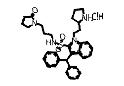 Cl.O=C1CCCN1CCCNS(=O)(=O)c1c(C(c2ccccc2)c2ccccc2)c2ccccc2n1CCC1CCCN1